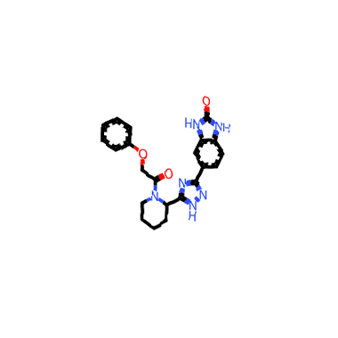 O=C(COc1ccccc1)N1CCCCC1c1nc(-c2ccc3[nH]c(=O)[nH]c3c2)n[nH]1